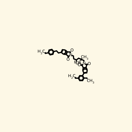 C=Cc1ccc(CCC2=CC3CC2C2C(=O)N(CCC(C)CC(C)(C)CN4C(=O)C5C6C=C(c7cc(C=C)ccc7CC)C(C6)C5C4=O)C(=O)C32)cc1